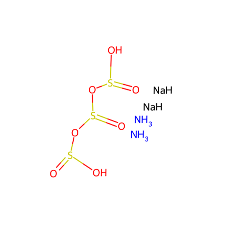 N.N.O=S(O)OS(=O)OS(=O)O.[NaH].[NaH]